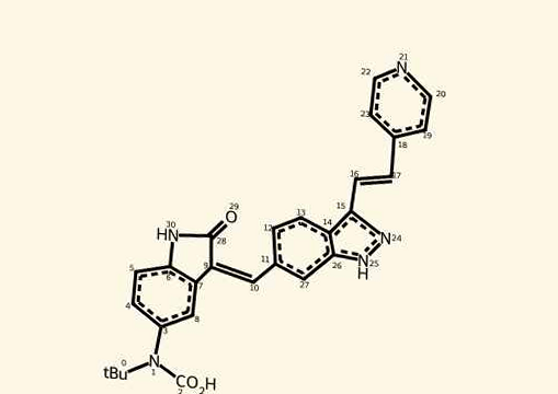 CC(C)(C)N(C(=O)O)c1ccc2c(c1)C(=Cc1ccc3c(C=Cc4ccncc4)n[nH]c3c1)C(=O)N2